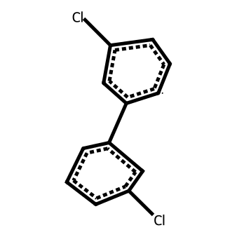 Clc1cc[c]c(-c2cccc(Cl)c2)c1